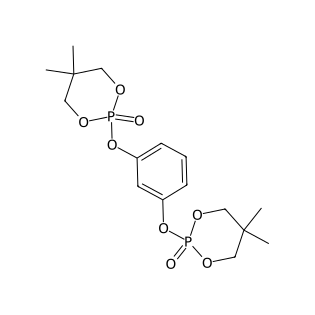 CC1(C)COP(=O)(Oc2cccc(OP3(=O)OCC(C)(C)CO3)c2)OC1